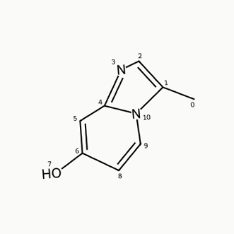 Cc1cnc2cc(O)ccn12